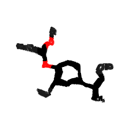 CCOC(OC)Oc1ccc(/C(C)=C\C=O)cc1C(C)(C)C